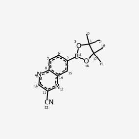 CC1(C)OB(c2ccc3ncc(C#N)nc3c2)OC1(C)C